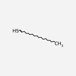 CCCCCCCCCCCCCCCC/C=C/S